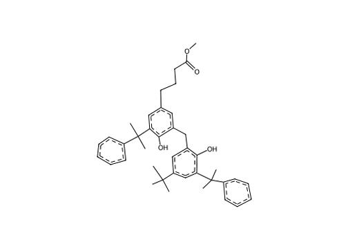 COC(=O)CCCc1cc(Cc2cc(C(C)(C)C)cc(C(C)(C)c3ccccc3)c2O)c(O)c(C(C)(C)c2ccccc2)c1